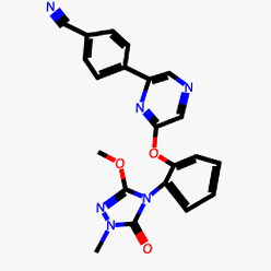 COc1nn(C)c(=O)n1-c1ccccc1Oc1cncc(-c2ccc(C#N)cc2)n1